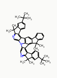 CC(C)(C)c1ccc2c(c1)C(C)(C)c1ncc3c(c1-2)c1cc2c(c4c5c6c(ncc5n3c14)C(C)(C)c1cc(C(C)(C)C)ccc1-6)C(C)(C)c1ccccc1-2